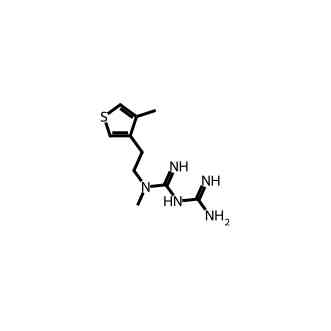 Cc1cscc1CCN(C)C(=N)NC(=N)N